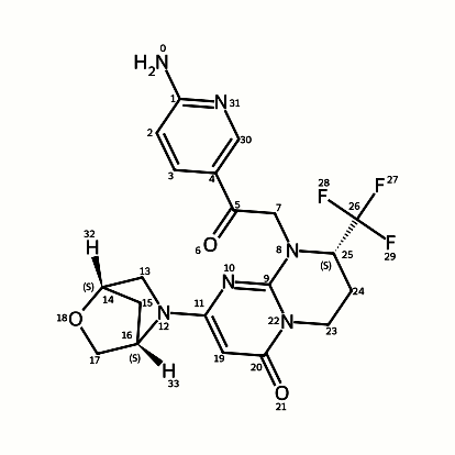 Nc1ccc(C(=O)CN2c3nc(N4C[C@@H]5C[C@H]4CO5)cc(=O)n3CC[C@H]2C(F)(F)F)cn1